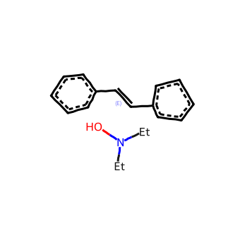 C(=C\c1ccccc1)/c1ccccc1.CCN(O)CC